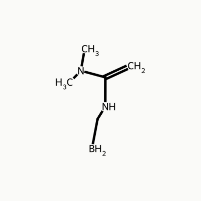 BCNC(=C)N(C)C